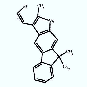 CC/C=C\c1c(C)[nH]c2cc3c(cc12)-c1ccccc1C3(C)C